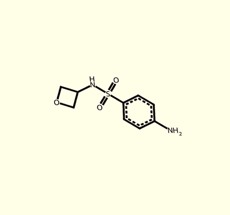 Nc1ccc(S(=O)(=O)NC2COC2)cc1